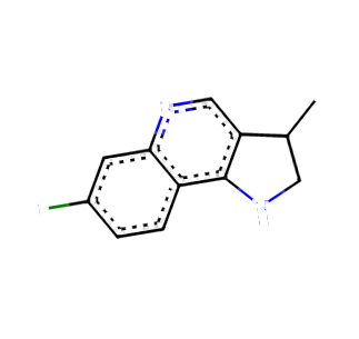 CC1CNc2c1cnc1cc(F)ccc21